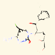 Nc1nc(=O)n([C@@]2(C(=O)c3cccc(Cl)c3)C=C[C@@H](CO)O2)cc1F